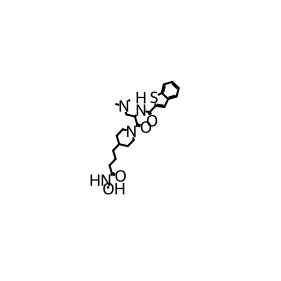 CN(C)CC(NC(=O)c1cc2ccccc2s1)C(=O)N1CCC(CCCC(=O)NO)CC1